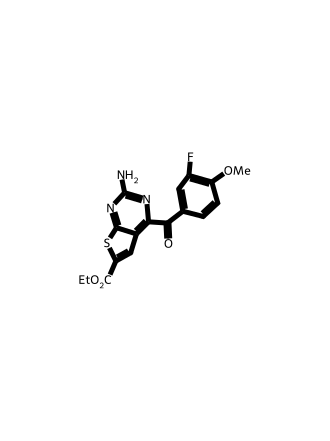 CCOC(=O)c1cc2c(C(=O)c3ccc(OC)c(F)c3)nc(N)nc2s1